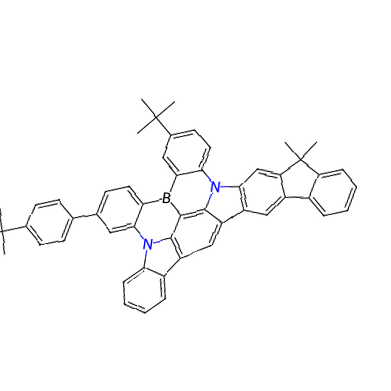 CC(C)(C)c1ccc(-c2ccc3c(c2)-n2c4ccccc4c4cc5c6cc7c(cc6n6c5c(c42)B3c2cc(C(C)(C)C)ccc2-6)C(C)(C)c2ccccc2-7)cc1